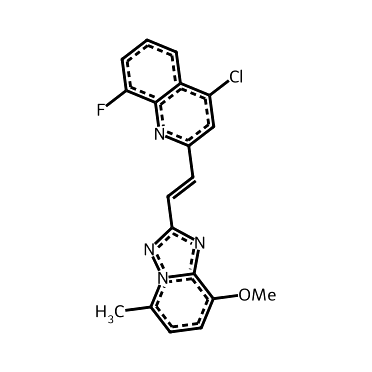 COc1ccc(C)n2nc(C=Cc3cc(Cl)c4cccc(F)c4n3)nc12